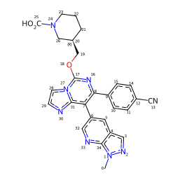 Cn1ncc2cc(-c3c(-c4ccc(C#N)cc4)nc(OC[C@@H]4CCCN(C(=O)O)C4)n4ccnc34)cnc21